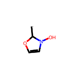 [CH2]C1OC=CN1O